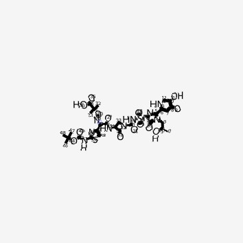 C[C@@H](O)Cn1c(-c2cc(=O)c(O)c[nH]2)nn(S(=O)(=O)NC(=O)N2C[C@H](NC(=O)/C(=N\OC(C)(C)C(=O)O)c3csc(NC(=O)OC(C)(C)C)n3)C2=O)c1=O